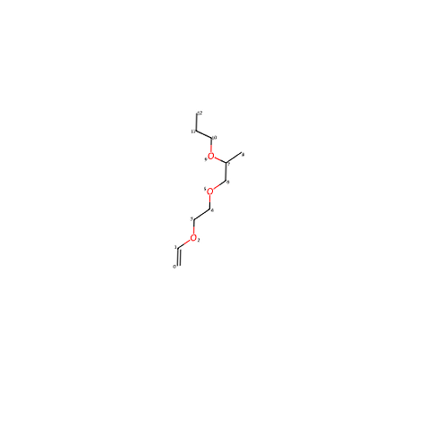 C=COCCOCC(C)OCCC